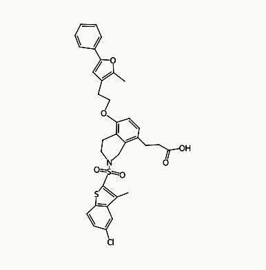 Cc1oc(-c2ccccc2)cc1CCOc1ccc(CCC(=O)O)c2c1CCN(S(=O)(=O)c1sc3ccc(Cl)cc3c1C)C2